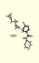 Cc1ccc(C(=O)NC2CCOCC2)cc1[C@@H]1C[C@H]1NCC1CC1.Cl